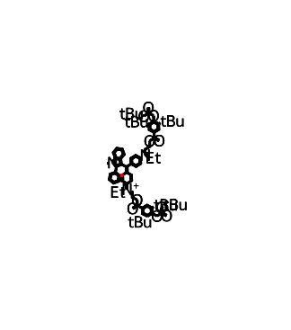 CCN(CCOC(=O)c1cc(C(C)(C)C)c(OC(=O)OC(C)(C)C)c(C(C)(C)C)c1)c1ccc(C(=C2C=CC(=[N+](CC)CCOC(=O)c3cc(C(C)(C)C)c(OC(=O)OC(C)(C)C)c(C(C)(C)C)c3)C=C2)c2c(-c3ccccc3)n(C)c3ccccc23)cc1